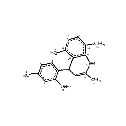 COc1cc(C#N)ccc1[C@@H]1C=C(C)Nc2c(C)cnc(O)c21